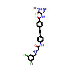 NC[C@H](NC(=O)c1ccc(C#Cc2ccc(NC(=O)CNCc3cc(Cl)cc(Cl)c3)cc2)cc1)C(=O)NO